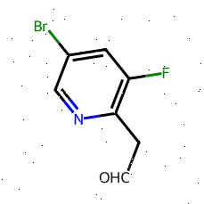 O=CCc1ncc(Br)cc1F